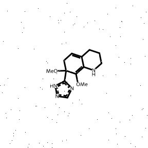 COC1=C2NCCCC2=CCC1(OC)c1ncn[nH]1